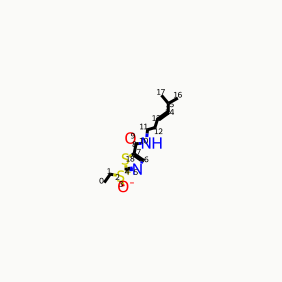 CC[S+]([O-])c1ncc(C(=O)NCC/C=C/C(C)C)s1